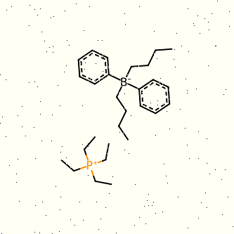 CCCC[B-](CCCC)(c1ccccc1)c1ccccc1.CC[P+](CC)(CC)CC